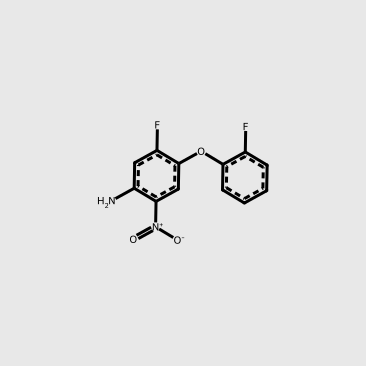 Nc1cc(F)c(Oc2ccccc2F)cc1[N+](=O)[O-]